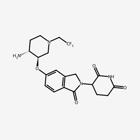 N[C@@H]1CCN(CC(F)(F)F)C[C@H]1Oc1ccc2c(c1)CN(C1CCC(=O)NC1=O)C2=O